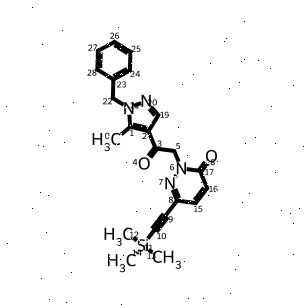 Cc1c(C(=O)Cn2nc(C#C[Si](C)(C)C)ccc2=O)cnn1Cc1ccccc1